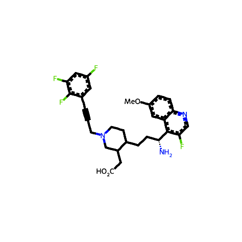 COc1ccc2ncc(F)c([C@H](N)CCC3CCN(CC#Cc4cc(F)cc(F)c4F)CC3CC(=O)O)c2c1